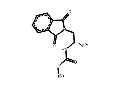 CCC[C@@H](CN1C(=O)c2ccccc2C1=O)NC(=O)OC(C)(C)C